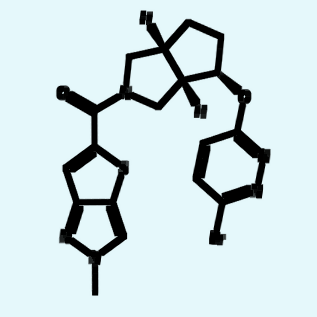 Cn1cc2sc(C(=O)N3C[C@@H]4CC[C@@H](Oc5ccc(Br)nn5)[C@@H]4C3)cc2n1